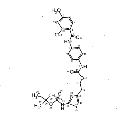 Cc1ccc(C(=O)Nc2ccc(NC(=O)OCCc3csc(NC(=O)OC(C)(C)C)n3)cc2)c(Cl)n1